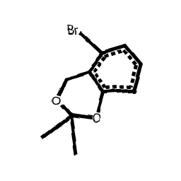 CC1(C)OCc2c(Br)cccc2O1